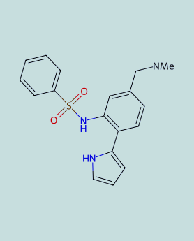 CNCc1ccc(-c2ccc[nH]2)c(NS(=O)(=O)c2ccccc2)c1